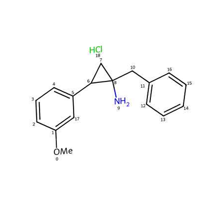 COc1cccc(C2CC2(N)Cc2ccccc2)c1.Cl